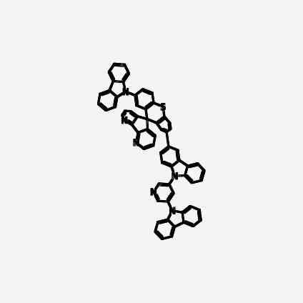 c1cnc2c(c1)C1(c3cc(-c4ccc5c(c4)c4ccccc4n5-c4cncc(-n5c6ccccc6c6ccccc65)c4)ccc3Sc3ccc(-n4c5ccccc5c5ccccc54)cc31)c1cccnc1-2